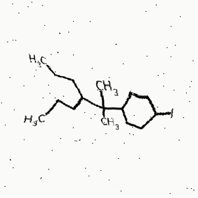 CCCC(CCC)C(C)(C)C1CCC(I)CC1